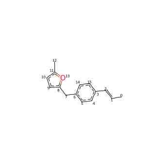 C/C=C/c1ccc(Cc2ccc(C)o2)cc1